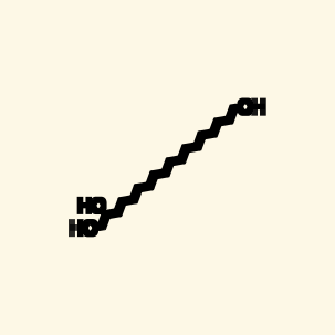 OCCCCCCCCCCCCCCCCC(O)CO